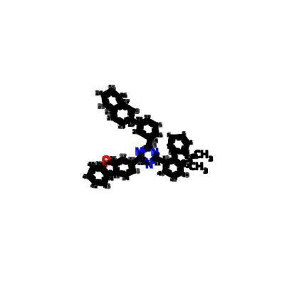 C[Si]1(C)c2ccccc2-c2c(-c3nc(-c4cccc(-c5ccc6ccccc6c5)c4)nc(-c4ccc5c(c4)oc4ccccc45)n3)cccc21